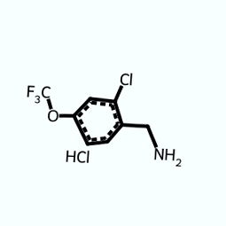 Cl.NCc1ccc(OC(F)(F)F)cc1Cl